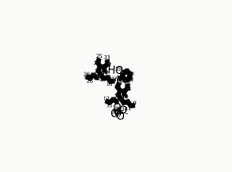 CCCC[N+](CCCC)(CCCC)CCCC.CCCC[N+](CCCC)(CCCC)CCCC.O=S(=O)([O-])[O-].Oc1ccccc1I